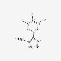 N#Cc1[nH]nnc1-c1cc(F)c(F)c(F)c1